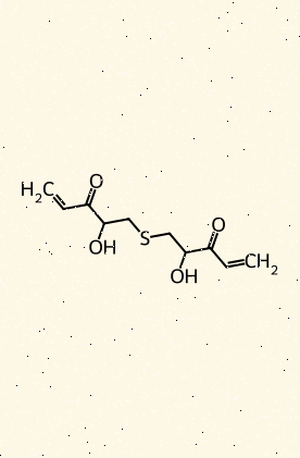 C=CC(=O)C(O)CSCC(O)C(=O)C=C